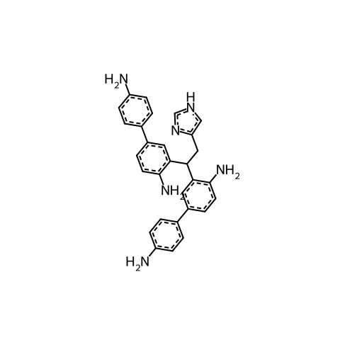 Nc1ccc(-c2ccc(N)c(C(Cc3c[nH]cn3)c3cc(-c4ccc(N)cc4)ccc3N)c2)cc1